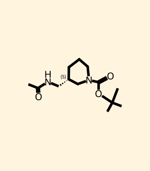 CC(=O)NC[C@@H]1CCCN(C(=O)OC(C)(C)C)C1